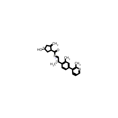 C=C1C[C@H](O)CC1C(=O)/N=C/[C@@H](C)c1ccc(-c2c#ccnc2C)cc1C